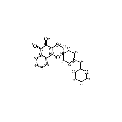 O=C1C(=O)c2ccccc2C2=C1SCC1(CCN(CC3CCCCO3)CC1)O2